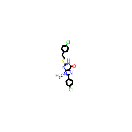 Cn1c(-c2ccc(Cl)cc2)nc2c(=O)[nH]c(SCCc3ccc(Cl)cc3)nc21